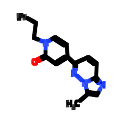 Cc1cnc2ccc(-c3ccn(CCC(C)C)c(=O)c3)nn12